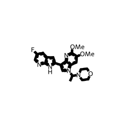 COc1cc2c(nc1OC)c(-c1cc3cc(F)cnc3[nH]1)cn2C(C)N1CCOCC1